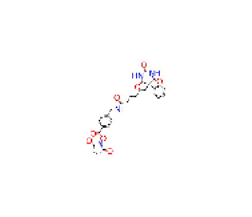 O=C(CCCCCC1(c2ccccc2)C(=O)NC(=O)NC1=O)NCc1ccc(C(=O)ON2C(=O)CCC2=O)cc1